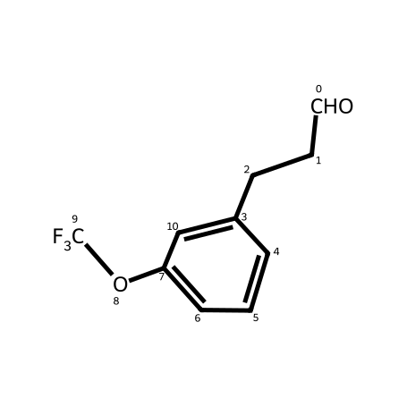 O=CCCc1cccc(OC(F)(F)F)c1